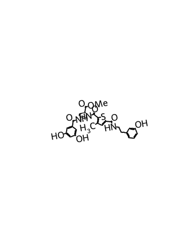 COC(=O)[C@H](CNC(=O)c1cc(O)cc(O)c1)NC(=O)c1sc(C(=O)NCCc2cccc(O)c2)cc1C